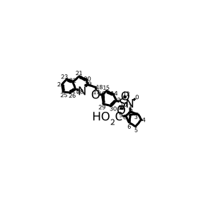 CN(C1C2CCC(C2)C1C(=O)O)S(=O)(=O)c1ccc(OCc2ccc3ccccc3n2)cc1